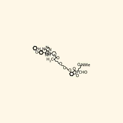 C=C(CCCOCCOCCOc1cccc2c1C(=O)N(C(C=O)CCC(=O)NC)C2=O)C(=O)N1CCCC(Nc2ncnc(N)c2C(=N)c2ccc(Oc3ccccc3)cc2)C1